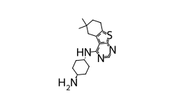 CC1(C)CCc2sc3ncnc(N[C@H]4CC[C@H](N)CC4)c3c2C1